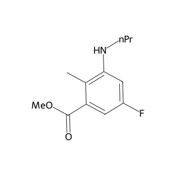 CCCNc1cc(F)cc(C(=O)OC)c1C